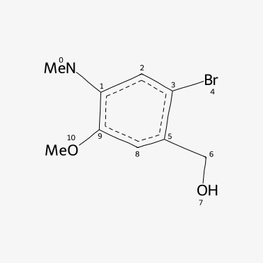 CNc1cc(Br)c(CO)cc1OC